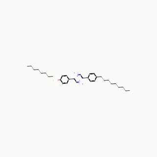 CCCCCCCCCc1ccc(-c2cnc(-c3ccc(OCCCCCCCC)c(F)c3)cn2)cc1